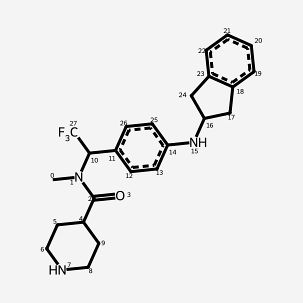 CN(C(=O)C1CCNCC1)C(c1ccc(NC2Cc3ccccc3C2)cc1)C(F)(F)F